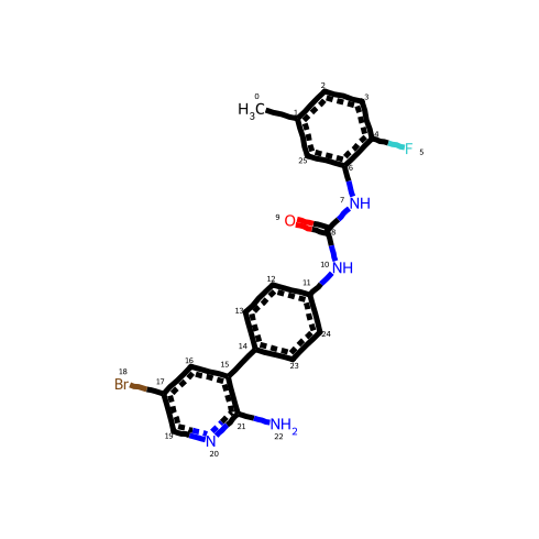 Cc1ccc(F)c(NC(=O)Nc2ccc(-c3cc(Br)cnc3N)cc2)c1